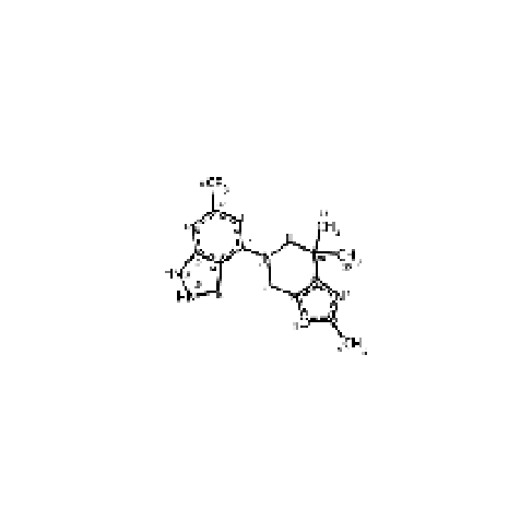 Cc1nc2c(o1)CN(c1cc(C(F)(F)F)cc3c1CNN3)CC2(C)C